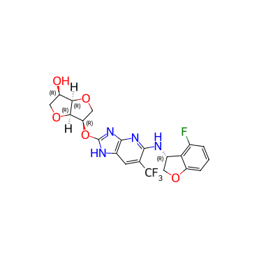 O[C@@H]1CO[C@H]2[C@@H]1OC[C@H]2Oc1nc2nc(N[C@H]3COc4cccc(F)c43)c(C(F)(F)F)cc2[nH]1